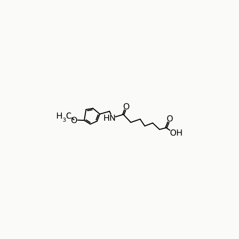 COc1ccc(CNC(=O)CCCCCC(=O)O)cc1